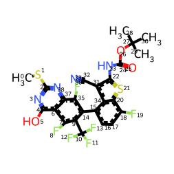 CSc1nc(O)c2c(F)c(C(F)(F)F)c(-c3ccc(F)c4sc(NC(=O)OC(C)(C)C)c(C#N)c34)c(F)c2n1